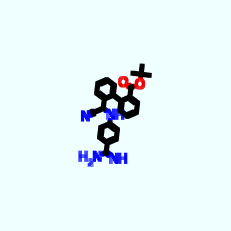 CC(C)(C)OC(=O)c1ccccc1-c1ccccc1C(C#N)Nc1ccc(C(=N)N)cc1